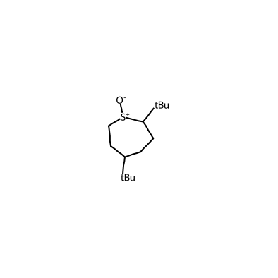 CC(C)(C)C1CCC(C(C)(C)C)[S+]([O-])CC1